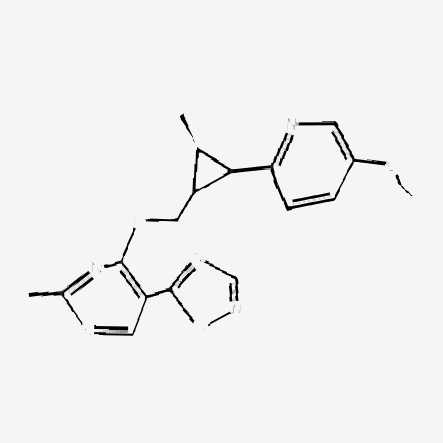 COc1ccc(C2C(COc3nc(C)ncc3-c3ncno3)[C@H]2C)nc1